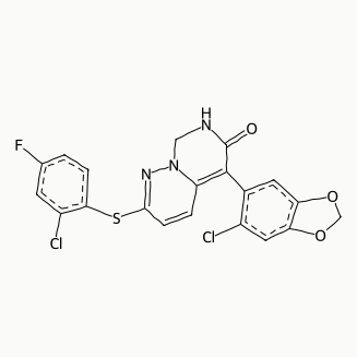 O=C1NCN2N=C(Sc3ccc(F)cc3Cl)C=CC2=C1c1cc2c(cc1Cl)OCO2